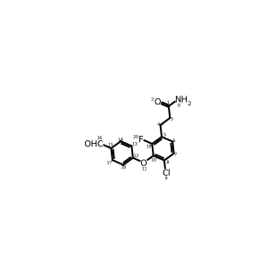 NC(=O)C[CH]c1ccc(Cl)c(Oc2ccc(C=O)cc2)c1F